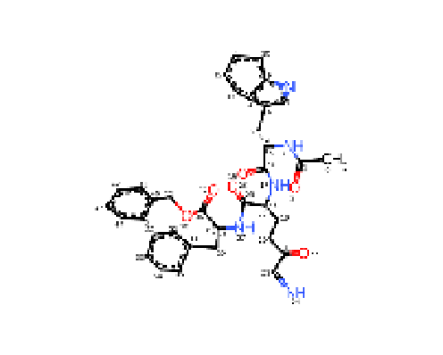 CC(=O)N[C@@H](Cc1c[nH]c2ccccc12)C(=O)N[C@@H](CCC(=O)C=N)C(=O)N[C@@H](Cc1ccccc1)C(=O)OCc1ccccc1